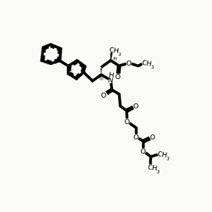 CCOC(=O)[C@H](C)C[C@@H](Cc1ccc(-c2ccccc2)cc1)NC(=O)CCC(=O)OCOC(=O)OC(C)C